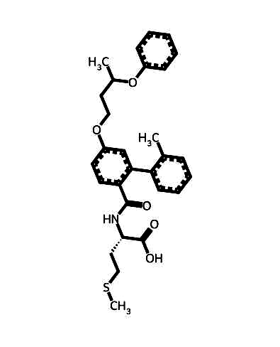 CSCC[C@H](NC(=O)c1ccc(OCCC(C)Oc2ccccc2)cc1-c1ccccc1C)C(=O)O